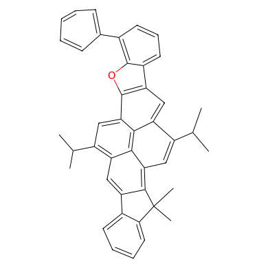 CC(C)c1cc2c3oc4c(-c5ccccc5)cccc4c3cc3c(C(C)C)cc4c5c(cc1c4c32)-c1ccccc1C5(C)C